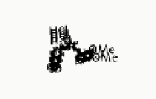 COc1cc2cncc(CCN(C)CCCN3CCc4cc5c(cc4C3)OCO5)c2cc1OC.Cl.Cl.Cl.O.O